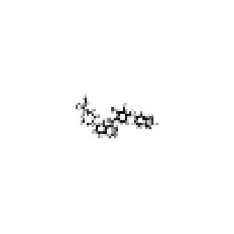 C=CC(=O)N1CCC[C@H](c2ccc3ncnc(Nc4ccc(Oc5ccn6ncnc6c5)c(C)c4F)c3n2)CC1